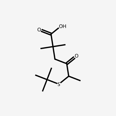 CC(SC(C)(C)C)C(=O)CC(C)(C)C(=O)O